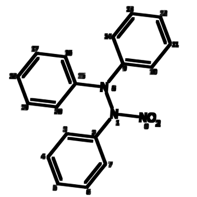 O=[N+]([O-])N(c1ccccc1)N(c1ccccc1)c1ccccc1